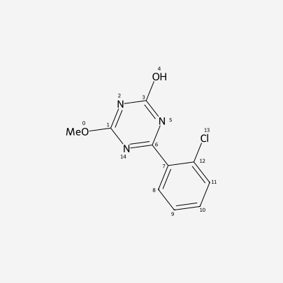 COc1nc(O)nc(-c2ccccc2Cl)n1